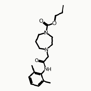 CCCOC(=O)N1CCCN(CC(=O)Nc2c(C)cccc2C)CC1